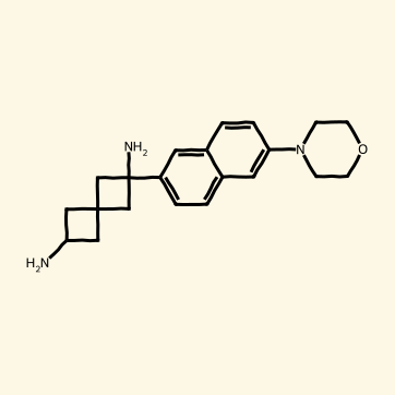 NC1CC2(C1)CC(N)(c1ccc3cc(N4CCOCC4)ccc3c1)C2